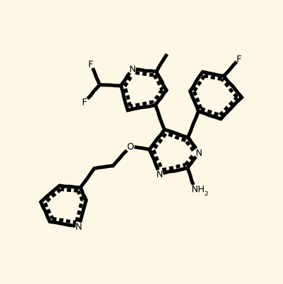 Cc1cc(-c2c(OCCc3cccnc3)nc(N)nc2-c2ccc(F)cc2)cc(C(F)F)n1